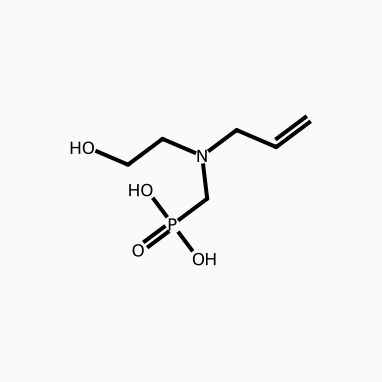 C=CCN(CCO)CP(=O)(O)O